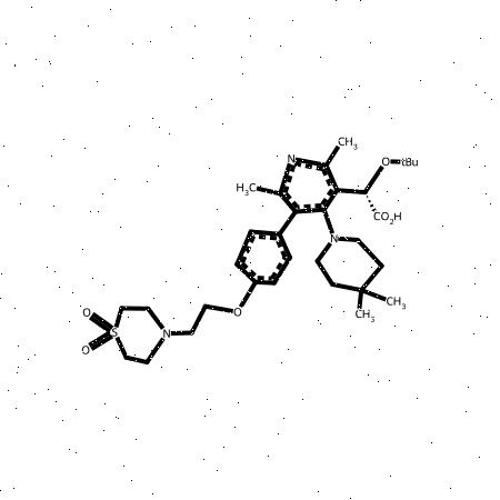 Cc1nc(C)c([C@H](OC(C)(C)C)C(=O)O)c(N2CCC(C)(C)CC2)c1-c1ccc(OCCN2CCS(=O)(=O)CC2)cc1